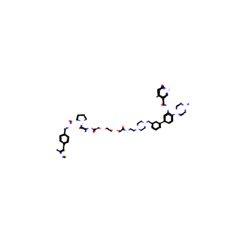 Cc1ncsc1-c1ccc(CNC(=O)[C@@H]2C[C@@H](O)CN2C(=O)C(NC(=O)COCCOCC(=O)NCCN2CCN(Cc3cccc(-c4ccc(N5CCN(C)CC5)c(NC(=O)c5c[nH]c(=O)cc5C(F)(F)F)c4)c3)CC2)C(C)(C)C)cc1